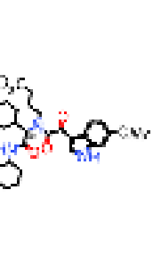 COc1ccc2c(C(=O)C(=O)N(CCCC(=O)O)[C@@H](C(=O)NC3CCCCC3)C3CCCCC3)c[nH]c2c1